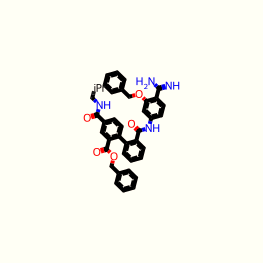 CC(C)CNC(=O)c1ccc(-c2ccccc2C(=O)Nc2ccc(C(=N)N)c(OCc3ccccc3)c2)c(C(=O)OCc2ccccc2)c1